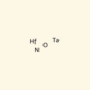 [Hf].[N].[O].[Ta]